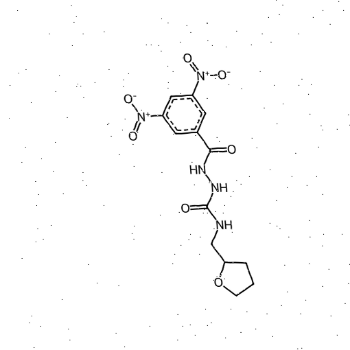 O=C(NCC1CCCO1)NNC(=O)c1cc([N+](=O)[O-])cc([N+](=O)[O-])c1